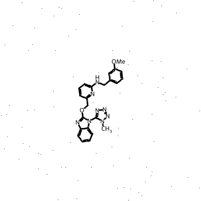 COc1cccc(CNc2cccc(COc3nc4ccccc4n3-c3nnnn3C)n2)c1